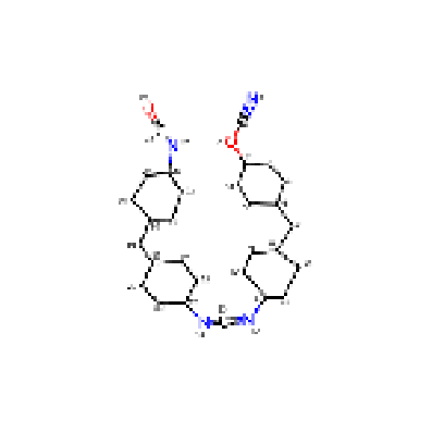 N#COC1CCC(CC2CCC(N=C=NC3CCC(CC4CCC(N=C=O)CC4)CC3)CC2)CC1